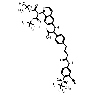 CC(C)(C)OC(=O)N(C(=O)OC(C)(C)C)c1nccc2cc(NC(C(=O)O)c3ccc(CCCC(=O)Nc4ccc(S(=O)(=O)C(C)(C)C)c(C#N)c4)cc3)ccc12